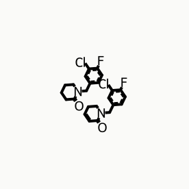 O=C1C=CCCN1Cc1ccc(F)c(Cl)c1.O=C1CCCCN1Cc1ccc(F)c(Cl)c1